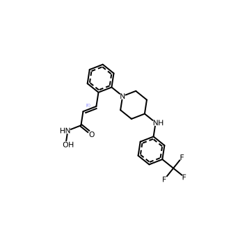 O=C(/C=C/c1ccccc1N1CCC(Nc2cccc(C(F)(F)F)c2)CC1)NO